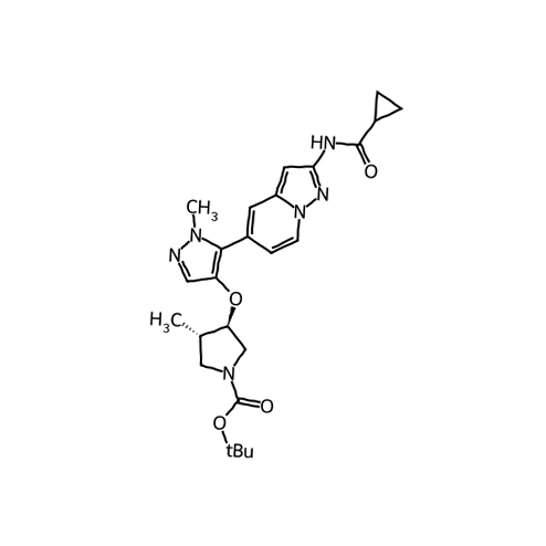 C[C@H]1CN(C(=O)OC(C)(C)C)C[C@@H]1Oc1cnn(C)c1-c1ccn2nc(NC(=O)C3CC3)cc2c1